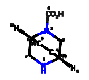 O=C(O)N1C[C@H]2CC[C@@H]1CN2